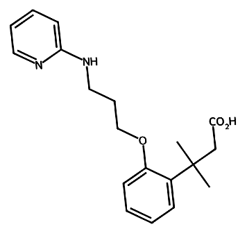 CC(C)(CC(=O)O)c1ccccc1OCCCNc1ccccn1